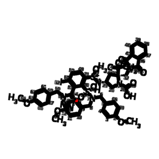 COc1ccc(CN(Cc2ccc(OC)cc2)S(=O)(=O)c2c([S+]([O-])N[C@H]3CN(C(=O)O)[C@](CN4C(=O)c5ccccc5C4=O)(C(C)(C)C)C3)ccc(I)c2-c2nnnn2Cc2ccc(OC)cc2)cc1